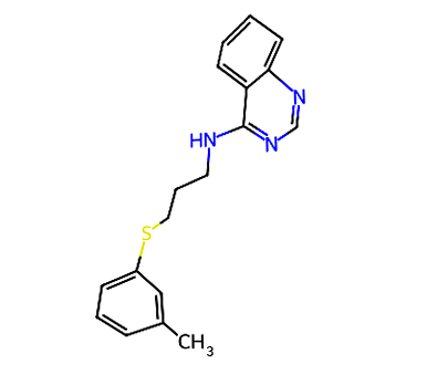 Cc1cccc(SCCCNc2ncnc3ccccc23)c1